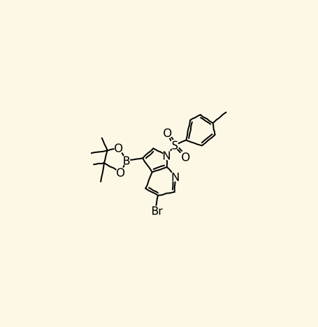 Cc1ccc(S(=O)(=O)n2cc(B3OC(C)(C)C(C)(C)O3)c3cc(Br)cnc32)cc1